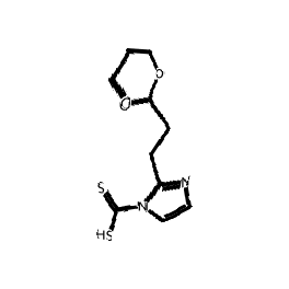 S=C(S)n1ccnc1CCC1OCCCO1